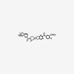 C/C=C\C(=C/C(=N)NS(C)(=O)=O)C(=O)N1CC[C@@H](N2Cc3cnc(Nc4ccc(F)c(OC)c4)nc3C2)C[C@H]1C